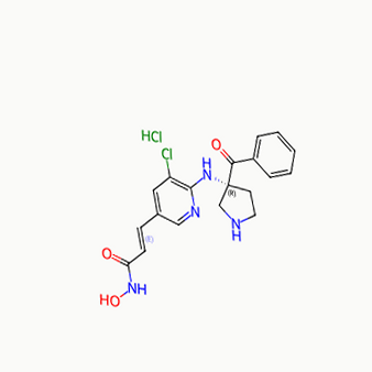 Cl.O=C(/C=C/c1cnc(N[C@]2(C(=O)c3ccccc3)CCNC2)c(Cl)c1)NO